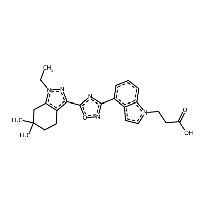 CCn1nc(-c2nc(-c3cccc4c3ccn4CCC(=O)O)no2)c2c1CC(C)(C)CC2